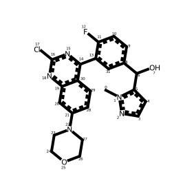 Cn1nccc1C(O)c1ccc(F)c(-c2nc(Cl)nc3cc(N4CCOCC4)ccc23)c1